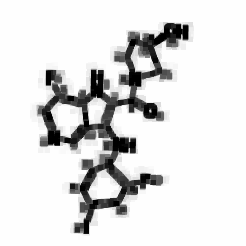 O=C(c1[nH]c2c(F)cncc2c1Nc1ccc(I)cc1F)N1CC[C@@H](O)C1